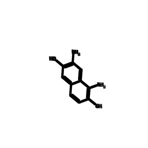 Nc1cc2c(N)c(O)ccc2cc1O